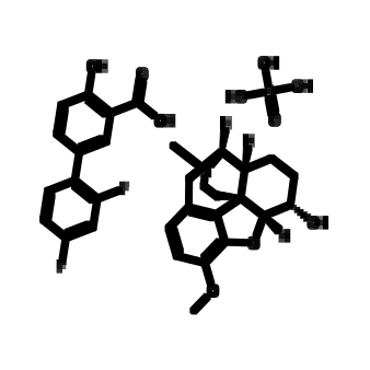 COc1ccc2c3c1O[C@H]1[C@@H](O)CC[C@H]4[C@@H](C2)N(C)CC[C@@]341.O=C(O)c1cc(-c2ccc(F)cc2F)ccc1O.O=P(O)(O)O